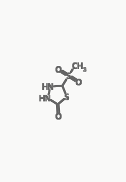 CS(=O)(=O)C1NNC(=O)S1